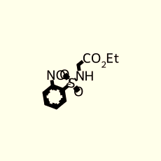 CCOC(=O)CNS(=O)(=O)c1ccccc1[N+](=O)[O-]